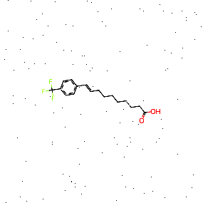 O=C(O)CCCCCCC/C=C/c1ccc(C(F)(F)F)cc1